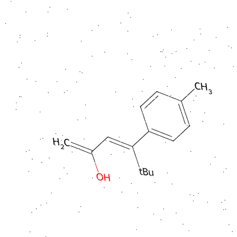 C=C(O)/C=C(/c1ccc(C)cc1)C(C)(C)C